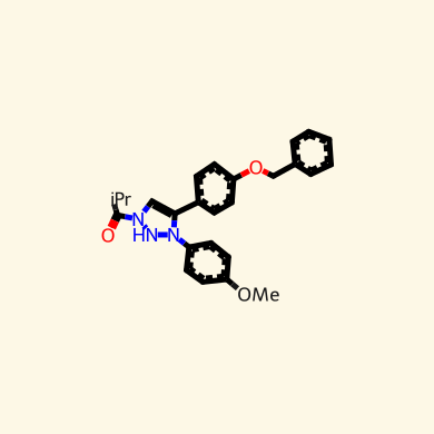 COc1ccc(N2NN(C(=O)C(C)C)C=C2c2ccc(OCc3ccccc3)cc2)cc1